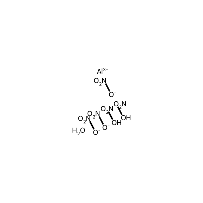 O.O=[N+]([O-])O.O=[N+]([O-])O.O=[N+]([O-])[O-].O=[N+]([O-])[O-].O=[N+]([O-])[O-].[Al+3]